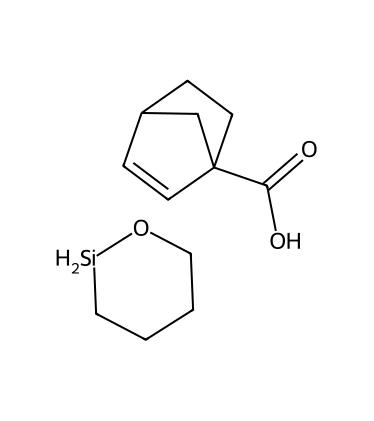 C1CC[SiH2]OC1.O=C(O)C12C=CC(CC1)C2